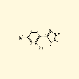 Clc1cc(Br)ccc1-c1cncs1